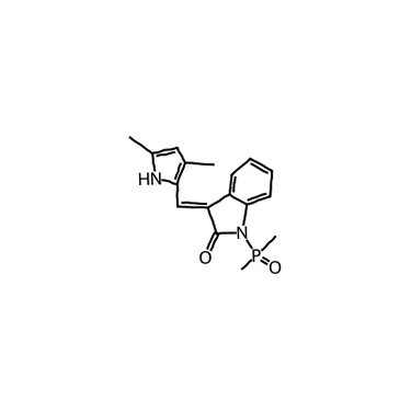 Cc1cc(C)c(C=C2C(=O)N(P(C)(C)=O)c3ccccc32)[nH]1